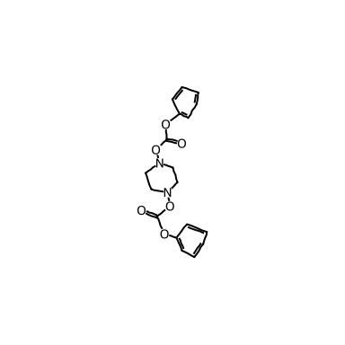 O=C(Oc1ccccc1)ON1CCN(OC(=O)Oc2ccccc2)CC1